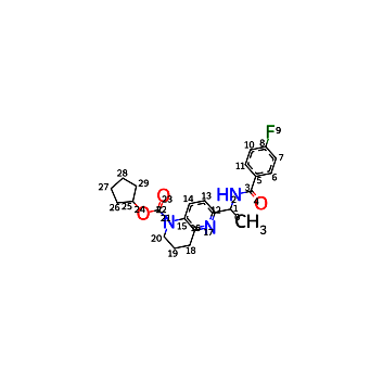 CC(NC(=O)c1ccc(F)cc1)c1ccc2c(n1)CCCN2C(=O)OC1CCCC1